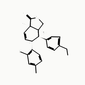 Cc1ccc([C@@H]2C=C[C@@]3(C)C(=O)NC[C@H]3[C@H]2c2ccc(CI)cc2)c(Cl)c1